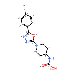 O=C(O)NC1CCN(c2nnc(-c3ccc(Cl)cc3)o2)CC1